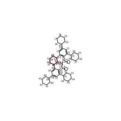 [O-][S+](N[S+]([O-])c1c(C2CCCCC2)cc(C2CCCCC2)cc1C1CCCCC1)c1c(C2CCCCC2)cc(C2CCCCC2)cc1C1CCCCC1